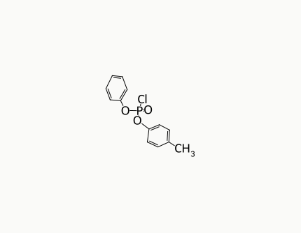 Cc1ccc(OP(=O)(Cl)Oc2ccccc2)cc1